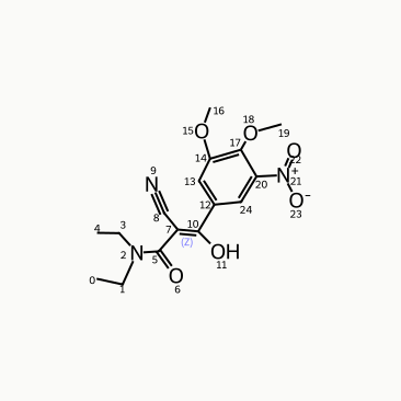 CCN(CC)C(=O)/C(C#N)=C(\O)c1cc(OC)c(OC)c([N+](=O)[O-])c1